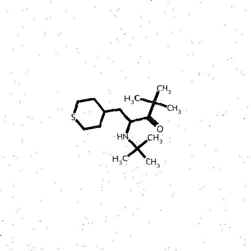 CC(C)(C)NC(CC1CCSCC1)C(=O)C(C)(C)C